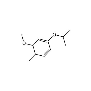 COC1C=C(OC(C)C)C=CC1C